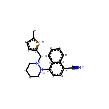 Cc1ccc(CN2CCCCN2c2ccc(C#N)c3ccccc23)s1